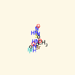 Cc1cc(Br)c(NC(=O)c2cccc(C(F)(F)F)c2)cc1NC(=O)c1ccc2nc(NCCN3CCOCC3)sc2c1